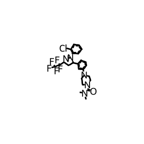 CN(C)C(=O)N1CCN(c2cccc(C3CC(C(F)(F)C(F)(F)F)=NN3c3ccccc3Cl)c2)CC1